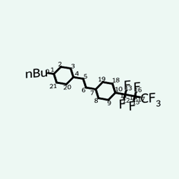 CCCCC1CCC(CCC2CCC(C(F)(F)C(F)(F)C(F)(F)F)CC2)CC1